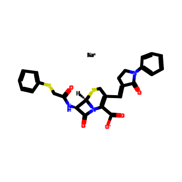 O=C(CSc1ccccc1)N[C@@H]1C(=O)N2C(C(=O)[O-])=C(/C=C3\CCN(c4ccccc4)C3=O)CS[C@H]12.[Na+]